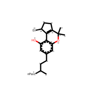 CCCCCC(C)CCc1cc(O)c2c(c1)OC(C)(C)C1=C2C(CC)CC1